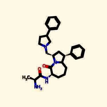 C[C@H](N)C(=O)N[C@H]1CCCC2[C@@H](c3ccccc3)C[C@@H](CN3CCC(c4ccccc4)C3)N2C1=O